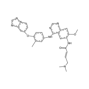 COc1cc2ncnc(Nc3ccc(Oc4ccn5ncnc5c4)c(C)c3)c2cc1NC(=O)/C=C/CN(C)C